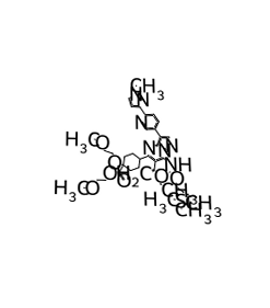 C=C(OCC)c1c(C2CCC(OCCOC)(C(=O)OCCOC)CC2)nc2c(-c3ccc(-c4ccn(C)n4)nc3)cnn2c1NCOCC[Si](C)(C)C